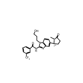 CN1C(=O)CC[C@@]1(C)c1ccc2c(c1)nc(NC(=O)c1cccc(C(F)(F)F)c1)n2CCCO